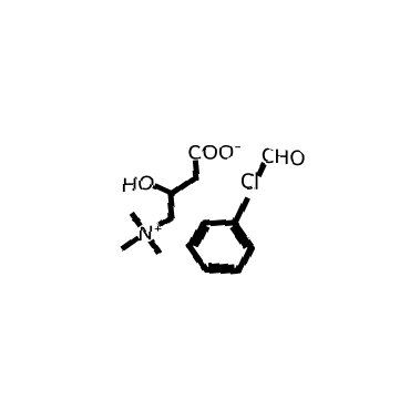 C[N+](C)(C)CC(O)CC(=O)[O-].Cc1ccccc1.O=CCl